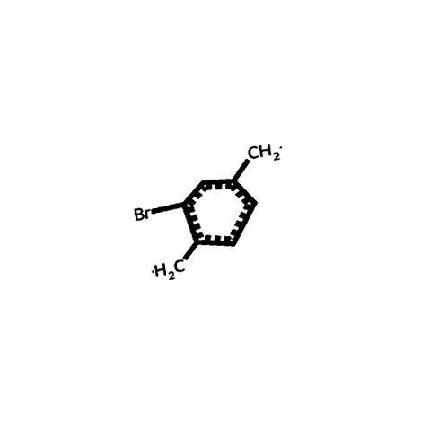 [CH2]c1ccc([CH2])c(Br)c1